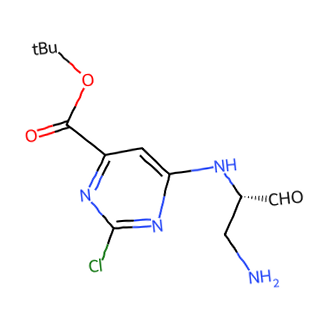 CC(C)(C)OC(=O)c1cc(N[C@H](C=O)CN)nc(Cl)n1